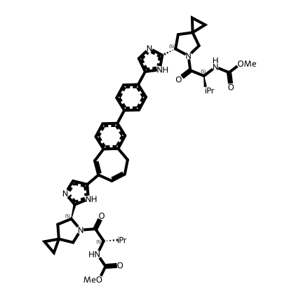 COC(=O)N[C@H](C(=O)N1CC2(CC2)C[C@H]1c1ncc(C2=Cc3ccc(-c4ccc(-c5cnc([C@@H]6CC7(CC7)CN6C(=O)[C@@H](NC(=O)OC)C(C)C)[nH]5)cc4)cc3CC=C2)[nH]1)C(C)C